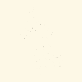 CC1(C)c2cc(-c3cccc(C4N=C(c5ccccc5)c5sc6c(c5N4)CCC=C6)c3)ccc2-c2c1cc1ccccc1c2-c1ccccc1